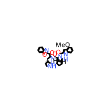 COc1cccc2[nH]c(C(=O)N3C[C@@H]4CCC[C@@H]4[C@H]3C(=O)NC(C[C@@H]3CCNC3)C(=O)c3nc4ccccc4o3)cc12